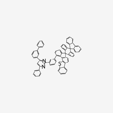 c1ccc(-c2cccc(-c3cc(-c4ccccc4)nc(-c4cccc(-c5cccc6c5-c5c(ccc7c5sc5ccccc57)C65c6ccccc6C6(c7ccccc7-c7ccccc76)c6ccccc65)c4)n3)c2)cc1